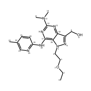 CCOCCn1nc(CO)c2nc(N(C)C)nc(Nc3ccc(C)cn3)c21